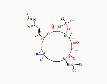 CC[Si](CC)(CC)O[C@H]1[C@@H](C)CCC[C@H]2NC2C[C@@H](/C(C)=C/c2csc(C)n2)OC(=O)C[C@H](O[Si](CC)(CC)CC)C(C)(C)C(=O)[C@@H]1C